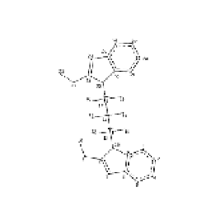 CCC1=Cc2ccccc2[CH]1[Ti]([CH3])([CH3])[C](C)(C)[Ti]([CH3])([CH3])[CH]1C(CC)=Cc2ccccc21